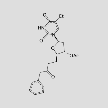 CCc1cn([C@H]2C[C@H](OC(C)=O)[C@@H](CCC(=O)Cc3ccccc3)O2)c(=O)[nH]c1=O